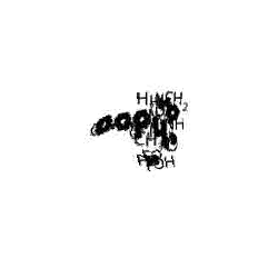 C=C(C(N)=O)c1cccc(Nc2nc(Nc3ccc(N4CCC(N5CCOCC5)CC4)c(OC)c3)ncc2N2CCOCC2)c1.O=C(O)C(F)(F)F